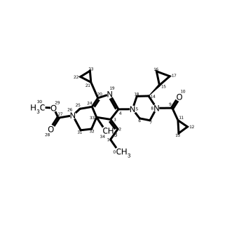 CC/C=C1/C(N2CCN(C(=O)C3CC3)[C@H](C3CC3)C2)=NC(C2CC2)=C2CN(C(=O)OC)CCC21C